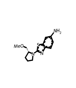 COC[C@H]1CCCN1c1nc2ccc(N)cc2s1